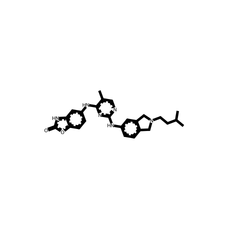 Cc1cnc(Nc2ccc3c(c2)CN(CCC(C)C)C3)nc1Nc1ccc2oc(=O)[nH]c2c1